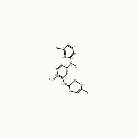 CC1=CCC(Nc2nc(N(C)c3cccc(C)n3)ccc2N)CN1